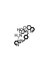 NC(=O)C[C@@H](C(=O)O)N(Cc1ccc(CNCc2ccccn2)cc1)C1CCCc2cccnc21